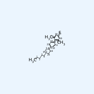 CCCCCC1CCC(c2ccc(-c3c(C)cc(F)cc3C)cc2)CC1